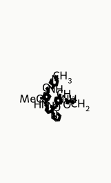 C=CC(=O)Nc1cc(Oc2nc(Nc3ccc(C(=O)NC4CCN(C)CC4)cc3OC)ccc2N2CCCCC2)ccc1C